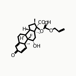 C=CCOC(=O)O[C@]1(C(=O)O)[C@H](C)C[C@H]2[C@@H]3CCC4=CC(=O)C=C[C@]4(C)[C@@]3(F)[C@@H](O)C[C@@]21C